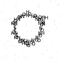 CC[C@@H]1NC(=O)[C@H](Cc2ccc(O)cc2)NC(=O)[C@H](Cc2cnc[nH]2)NC(=O)[C@H](C)N(C)C(=O)[C@H](C)NC(=O)[C@H](Cc2ccccc2)N(C)C(=O)[C@H](Cc2ccccc2)N(C)C(=O)[C@H](CC(=O)O)NC(=O)CN(C)C(=O)C([C@@H](C)O)NC(=O)CNC(=O)CSC[C@@H](C=O)NC(=O)[C@H](C)NC(=O)[C@@H]2CCCN2C(=O)C(C(C)C)NC1=O